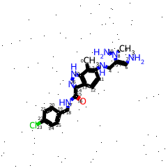 Cc1c(NC/C(=C/N)N(C)N)ccc2c(C(=O)NCc3ccc(Cl)cc3)n[nH]c12